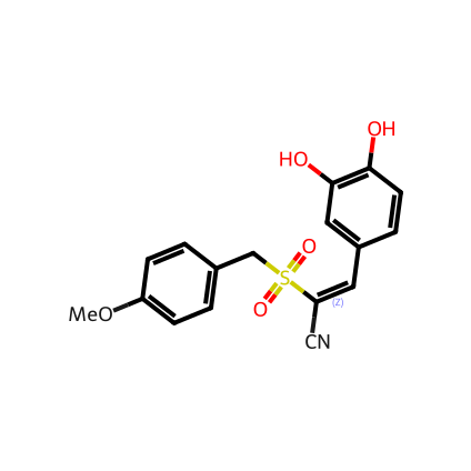 COc1ccc(CS(=O)(=O)/C(C#N)=C\c2ccc(O)c(O)c2)cc1